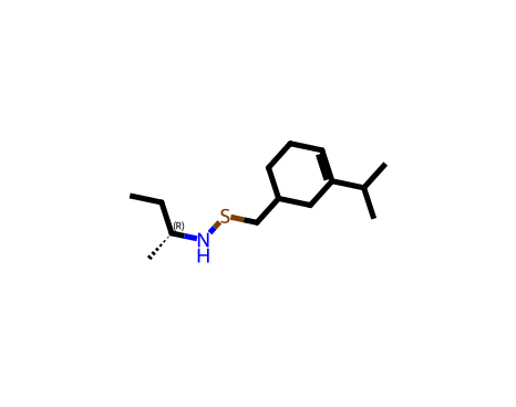 CC[C@@H](C)NSCC1CCC=C(C(C)C)C1